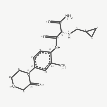 NC(=O)[C@H](NCC1CC1)C(=O)Nc1ccc(N2CCOCC2=O)cc1C(F)(F)F